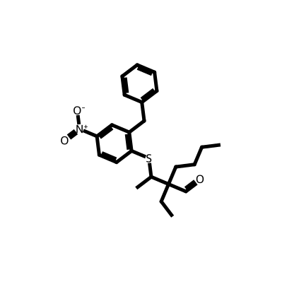 CCCCC(C=O)(CC)C(C)Sc1ccc([N+](=O)[O-])cc1Cc1ccccc1